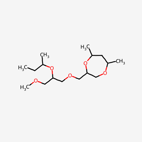 CCC(C)OC(COC)COCC1COC(C)CC(C)O1